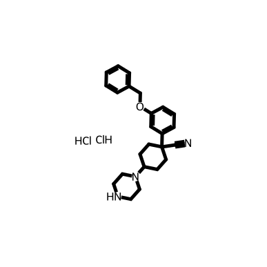 Cl.Cl.N#CC1(c2cccc(OCc3ccccc3)c2)CCC(N2CCNCC2)CC1